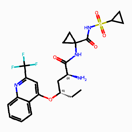 CC[C@@H](C[C@H](N)C(=O)NC1(C(=O)NS(=O)(=O)C2CC2)CC1)Oc1cc(C(F)(F)F)nc2ccccc12